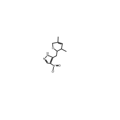 CC1=CC(C)C(Cc2[nH]ncc2[N+](=O)[O-])OC1